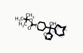 CC(C)(C)OC(=O)N1CCC(C(O)(C2=C/C=C\C=C\C=C\2)c2ccco2)CC1